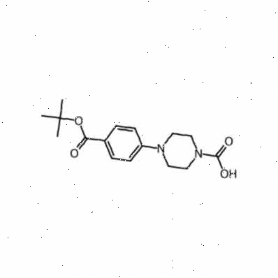 CC(C)(C)OC(=O)c1ccc(N2CCN(C(=O)O)CC2)cc1